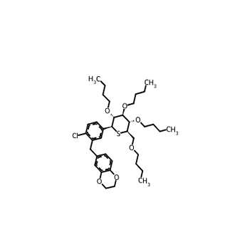 CCCCOC[C@H]1S[C@@H](c2ccc(Cl)c(Cc3ccc4c(c3)OCCO4)c2)[C@H](OCCCC)[C@@H](OCCCC)[C@@H]1OCCCC